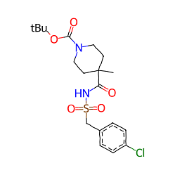 CC(C)(C)OC(=O)N1CCC(C)(C(=O)NS(=O)(=O)Cc2ccc(Cl)cc2)CC1